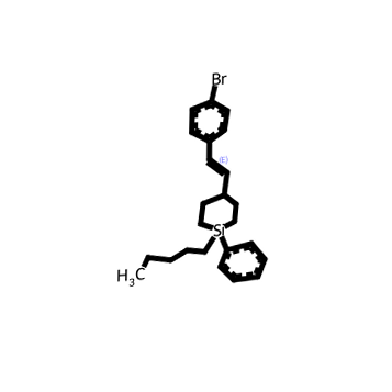 CCCCC[Si]1(c2ccccc2)CCC(/C=C/c2ccc(Br)cc2)CC1